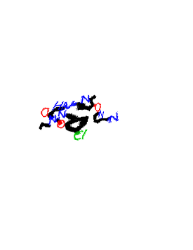 CCCn1c(=O)cc(Nc2ccc(Oc3cccc(C#N)n3)c(C)n2)n(Cc2ccc(Cl)cc2)c1=O